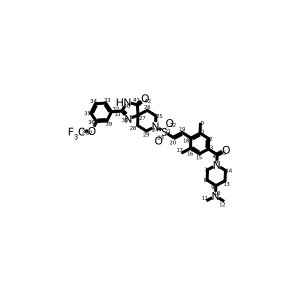 Cc1cc(C(=O)N2CCC(N(C)C)CC2)cc(C)c1C=CS(=O)(=O)N1CCC2(CC1)N=C(c1cccc(OC(F)(F)F)c1)NC2=O